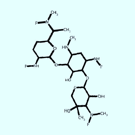 CNC1CC(NF)C(OC2OCC(C)(O)C(N(C)F)C2O)C(O)C1OC1OC(C(C)N(C)F)CCC1NF